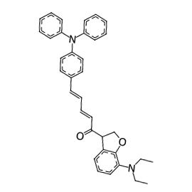 CCN(CC)c1cccc2c1OCC2C(=O)C=CC=Cc1ccc(N(c2ccccc2)c2ccccc2)cc1